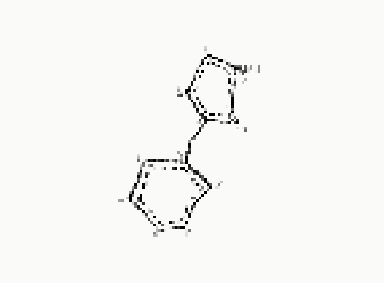 c1ccc(-c2cc[nH]p2)cc1